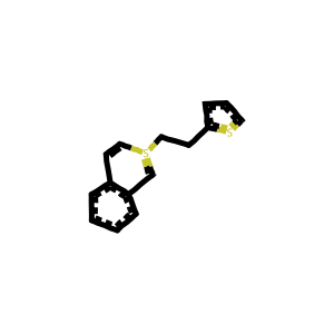 [C]1=S(CCc2cccs2)C=Cc2ccccc21